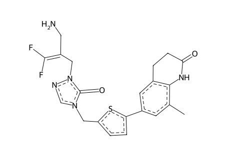 Cc1cc(-c2ccc(Cn3cnn(CC(CN)=C(F)F)c3=O)s2)cc2c1NC(=O)CC2